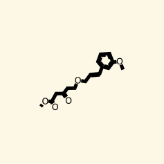 COC(=O)CC(=O)CCOC/C=C/c1cccc(OC)c1